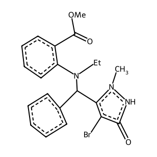 CCN(c1ccccc1C(=O)OC)C(c1ccccc1)c1c(Br)c(=O)[nH]n1C